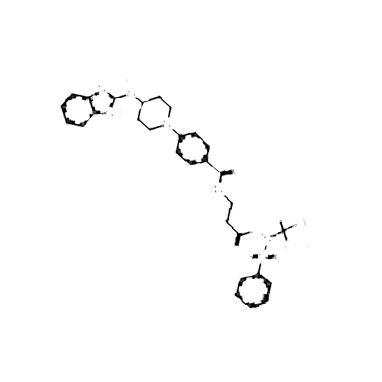 CC(C)(C)N(OC(=O)CCNC(=O)c1ccc(N2CCC(Nc3nc4ccccc4[nH]3)CC2)cc1)S(=O)(=O)c1ccccc1